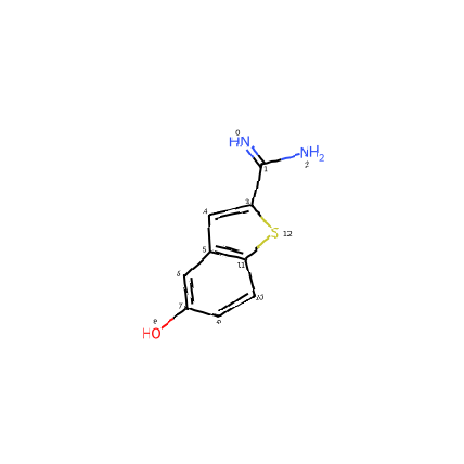 N=C(N)c1cc2cc(O)ccc2s1